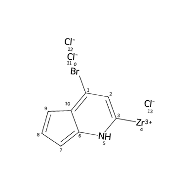 Brc1c[c]([Zr+3])[nH]c2cccc1-2.[Cl-].[Cl-].[Cl-]